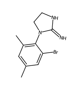 Cc1cc(C)c(N2CCNC2=N)c(Br)c1